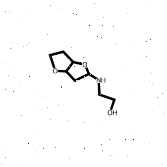 OCCNC1CC2OCCC2O1